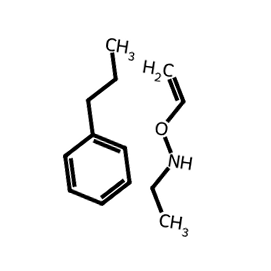 C=CONCC.CCCc1ccccc1